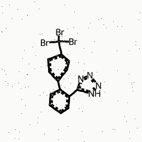 BrC(Br)(Br)c1ccc(-c2ccccc2-c2nnn[nH]2)cc1